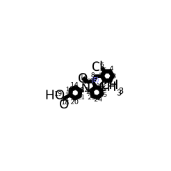 Cc1cccc(Cl)c1/C=C1/C(=O)N(c2ccc(C(=O)O)cc2)c2cccc(C)c21